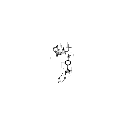 CN1CCN(c2nc(-c3ccc(C(=O)NC(CC(C)(C)F)C(=O)N4CC(Cl)C5OCC(=O)C54)cc3F)c(F)s2)CC1